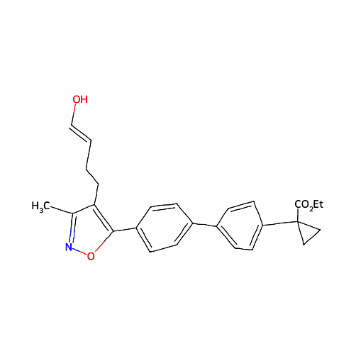 CCOC(=O)C1(c2ccc(-c3ccc(-c4onc(C)c4CCC=CO)cc3)cc2)CC1